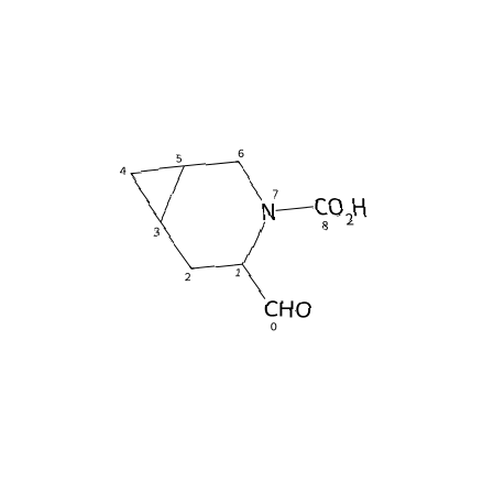 O=CC1CC2CC2CN1C(=O)O